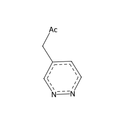 CC(=O)Cc1ccnnc1